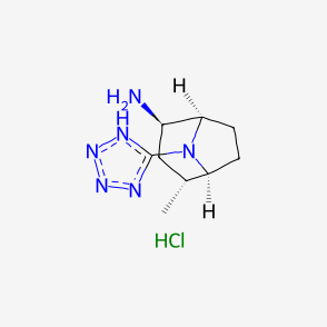 C[C@@H]1C[C@@H](N)[C@H]2CC[C@@H]1N2c1nnn[nH]1.Cl